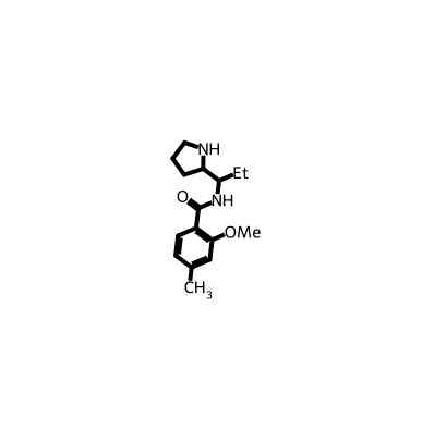 CCC(NC(=O)c1ccc(C)cc1OC)C1CCCN1